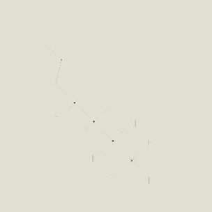 FC(F)(Cl)C(F)(Cl)C(F)(F)C(F)(F)CCI